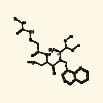 CCNC(=O)NOCC(=O)NC(CC(=O)O)C(=O)N(Cc1cccc2cccnc12)[C@@H](C)C(OCC)OCC